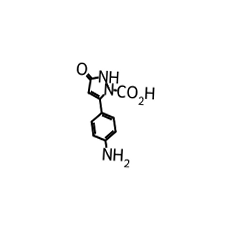 Nc1ccc(-c2cc(=O)[nH]n2C(=O)O)cc1